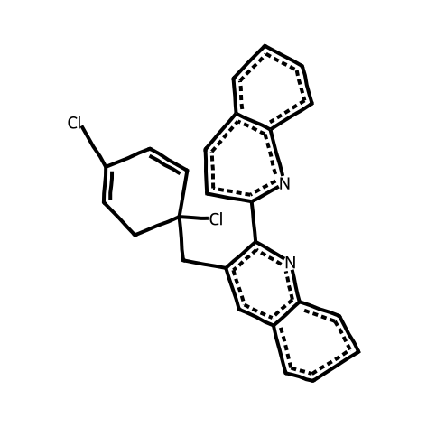 ClC1=CCC(Cl)(Cc2cc3ccccc3nc2-c2ccc3ccccc3n2)C=C1